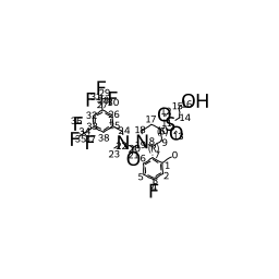 Cc1cc(F)ccc1[C@H]1C[C@@H](S(=O)(=O)CCO)CCN1C(=O)N(C)Cc1cc(C(F)(F)F)cc(C(F)(F)F)c1